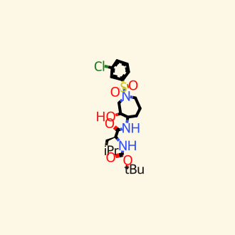 CC(C)C[C@H](NC(=O)OC(C)(C)C)C(=O)NC1CCCN(S(=O)(=O)c2cccc(Cl)c2)CC1O